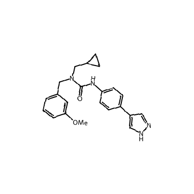 COc1cccc(CN(CC2CC2)C(=O)Nc2ccc(-c3cn[nH]c3)cc2)c1